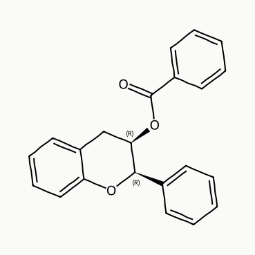 O=C(O[C@@H]1Cc2ccccc2O[C@@H]1c1ccccc1)c1ccccc1